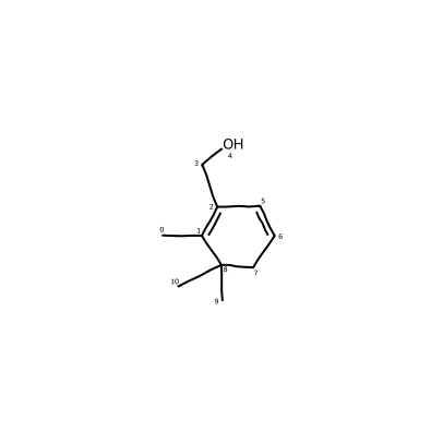 CC1=C(CO)C=CCC1(C)C